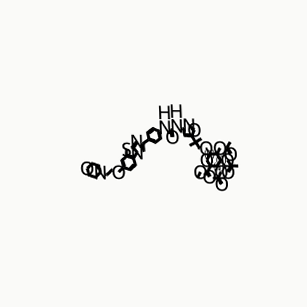 COC(=O)C1O[C@@H](OCC(C)(C)c2cc(NC(=O)Nc3ccc(-c4cn5c(n4)sc4cc(OCCN6CCOCC6)ccc45)cc3)no2)C(OC(C)=O)[C@@H](OC(C)=O)[C@@H]1OC(C)=O